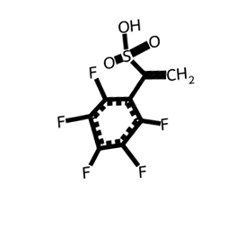 C=C(c1c(F)c(F)c(F)c(F)c1F)S(=O)(=O)O